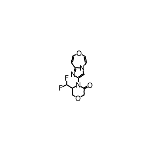 O=C1COCC(C(F)F)N1c1cn2c(n1)C=COC=C2